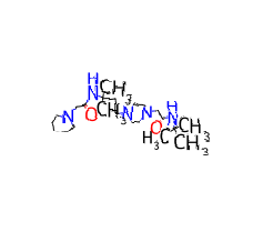 CC(C)(C)NC(=O)CN1CCN(CCC(C)(C)NC(=O)CN2CCCCC2)CC1